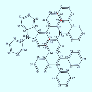 c1ccc(-c2ccccc2N(c2ccc3c(c2)c(-c2ccccc2)c(-c2ccccc2)c2ccccc23)c2ccccc2-c2cccc3c2c2ccccc2n3-c2ccccc2)cc1